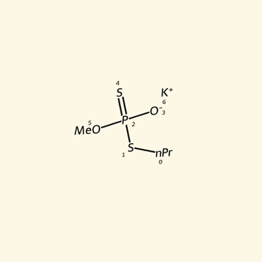 CCCSP([O-])(=S)OC.[K+]